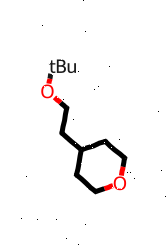 CC(C)(C)OCCC1CCOCC1